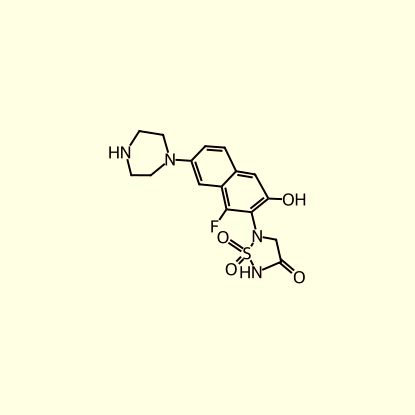 O=C1CN(c2c(O)cc3ccc(N4CCNCC4)cc3c2F)S(=O)(=O)N1